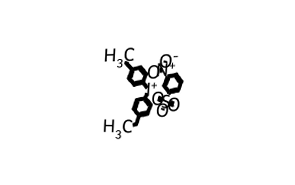 CCc1ccc([I+]c2ccc(CC)cc2)cc1.O=[N+]([O-])c1cccc(S(=O)(=O)[O-])c1